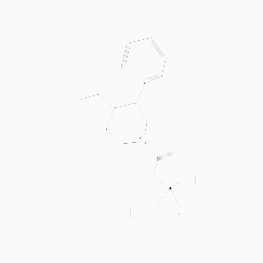 CC(C)(C)OC(=O)N1CCC(CO)C(c2ccccc2)C1